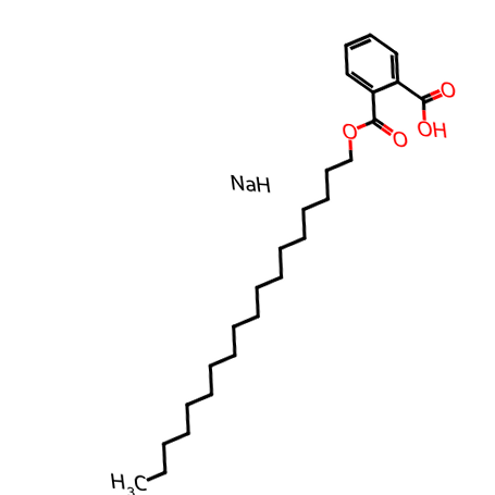 CCCCCCCCCCCCCCCCCCOC(=O)c1ccccc1C(=O)O.[NaH]